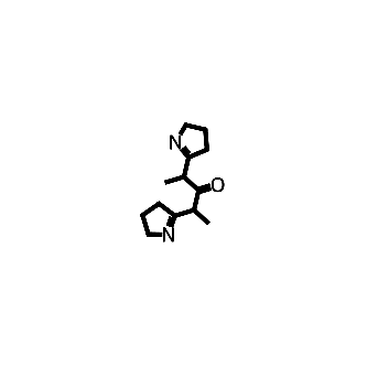 CC(C(=O)C(C)C1=NCCC1)C1=NCCC1